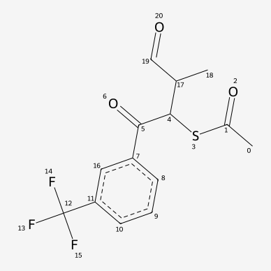 CC(=O)SC(C(=O)c1cccc(C(F)(F)F)c1)C(C)C=O